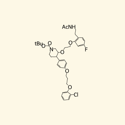 CC(=O)NCCc1ccc(F)cc1OCCOC1CN(C(=O)OC(C)(C)C)CCC1c1ccc(OCCCOc2ccccc2Cl)cc1